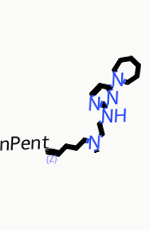 CCCCC/C=C\CCCN(C)CCNc1nccc(N2CCCCCC2)n1